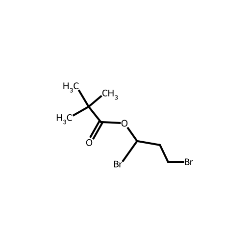 CC(C)(C)C(=O)OC(Br)CCBr